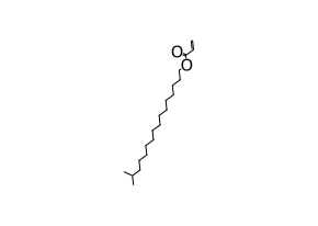 C=CC(=O)OCCCCCCCCCCCCCCC(C)C